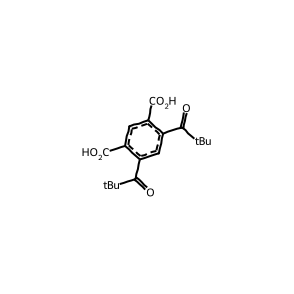 CC(C)(C)C(=O)c1cc(C(=O)C(C)(C)C)c(C(=O)O)cc1C(=O)O